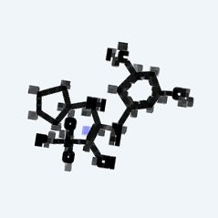 CC(C)S(=O)(=O)/C(C#N)=C(/Nc1cc(C(F)(F)F)cc(C(F)(F)F)c1)NC1CCCC1